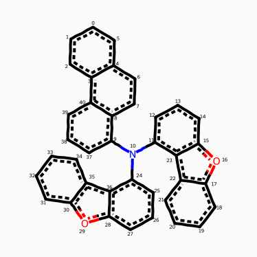 c1ccc2c(c1)ccc1c(N(c3cccc4oc5ccccc5c34)c3cccc4oc5ccccc5c34)cccc12